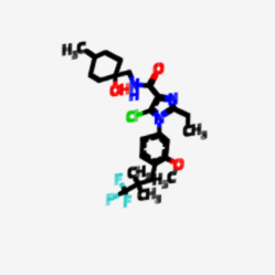 CCc1nc(C(=O)NCC2(O)CCC(C)CC2)c(Cl)n1-c1ccc(CC(C)(C)C(F)(F)F)c(OC)c1